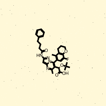 Cc1nc2cc(NC(=O)CCCc3ccccc3)nn2c(-c2cc(F)c3c(c2C)CCCO3)c1[C@H](OC(C)(C)C)C(=O)O